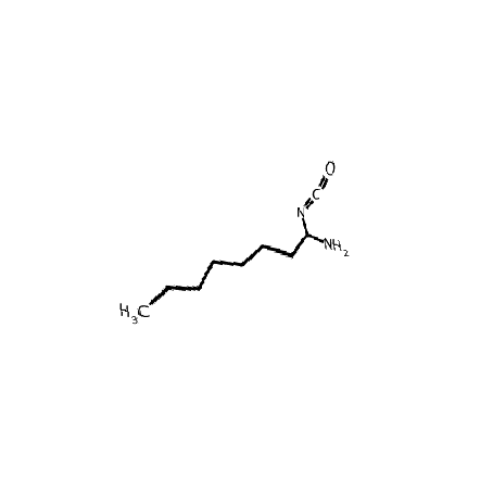 CCCCCCCC(N)N=C=O